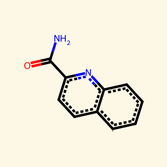 NC(=O)c1ccc2[c]cccc2n1